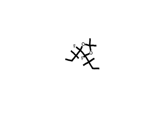 CCC(C)(C)C1(F)OC(C)(C)OC1(F)C(C)(C)CC